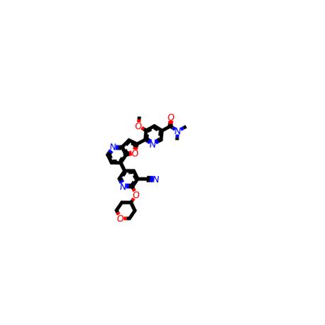 COc1cc(C(=O)N(C)C)cnc1-c1cc2nccc(-c3cnc(OC4CCOCC4)c(C#N)c3)c2o1